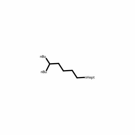 [CH2]CCCC(CCCC)CCCCCCCCCCC